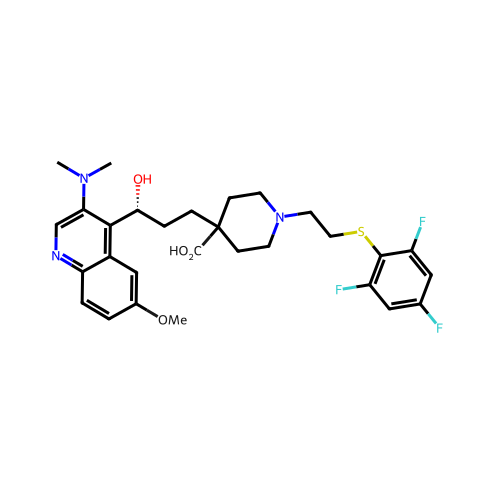 COc1ccc2ncc(N(C)C)c([C@H](O)CCC3(C(=O)O)CCN(CCSc4c(F)cc(F)cc4F)CC3)c2c1